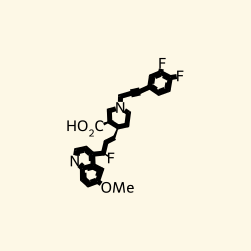 COc1ccc2nccc([C@@H](F)CC[C@@H]3CCN(CC#Cc4ccc(F)c(F)c4)C[C@@H]3C(=O)O)c2c1